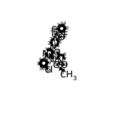 CCCS(=O)(=O)N1CCC(Oc2c(N3CCN(S(=O)(=O)c4c(F)cccc4F)CC3)cnn(-c3cccc(Cl)c3)c2=O)C1